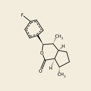 C[C@@H]1[C@H]2CC[C@H](C)[C@H]2C(=O)O[C@H]1c1ccc(F)cc1